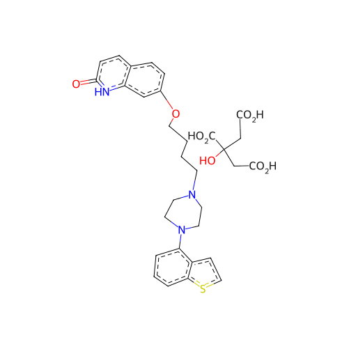 O=C(O)CC(O)(CC(=O)O)C(=O)O.O=c1ccc2ccc(OCCCCN3CCN(c4cccc5sccc45)CC3)cc2[nH]1